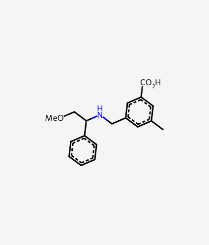 COCC(NCc1cc(C)cc(C(=O)O)c1)c1ccccc1